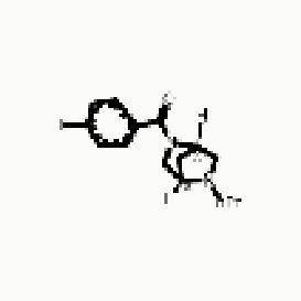 CCCN1C[C@@H]2C[C@H]1CN2C(=O)c1ccc(I)cc1